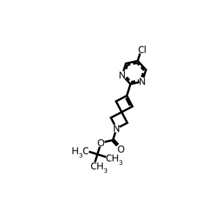 CC(C)(C)OC(=O)N1CC2(C=C(c3ncc(Cl)cn3)C2)C1